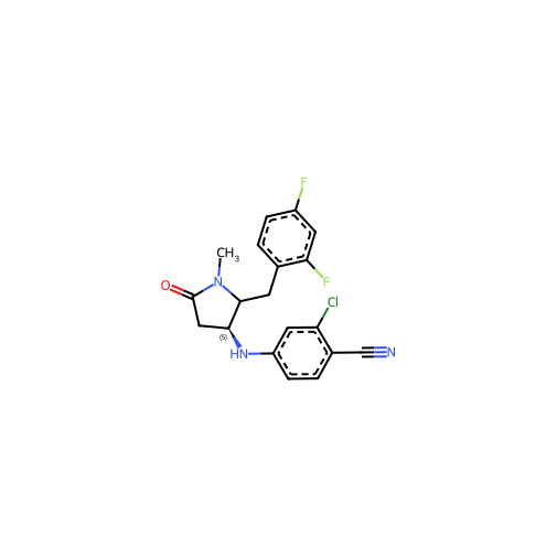 CN1C(=O)C[C@H](Nc2ccc(C#N)c(Cl)c2)C1Cc1ccc(F)cc1F